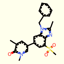 Cc1cc(-c2cc(S(C)(=O)=O)c3nc(C)n(Cc4ccccc4)c3c2)cn(C)c1=O